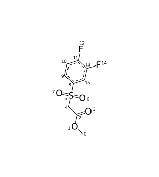 COC(=O)CS(=O)(=O)c1ccc(F)c(F)c1